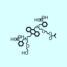 C=C(C)C(=O)OCCOCCN(Cc1ccccc1B(O)O)Cc1c2ccccc2c(CCN(CCOCCO)Cc2ccccc2B(O)O)c2ccccc12